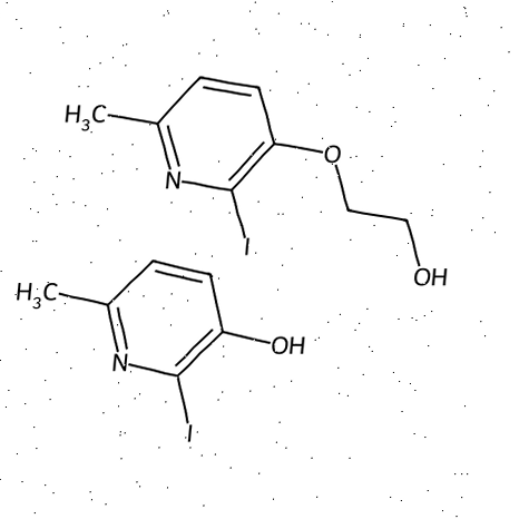 Cc1ccc(O)c(I)n1.Cc1ccc(OCCO)c(I)n1